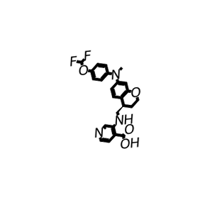 CN(c1ccc(OC(F)F)cc1)c1ccc2c(c1)OCC[C@H]2CNc1cnccc1C(=O)O